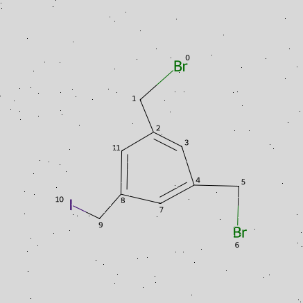 BrCc1cc(CBr)cc(CI)c1